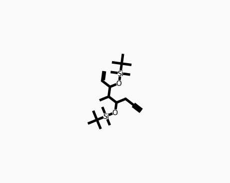 C#CCC(O[Si](C)(C)C(C)(C)C)C(C)C(C=C)O[Si](C)(C)C(C)(C)C